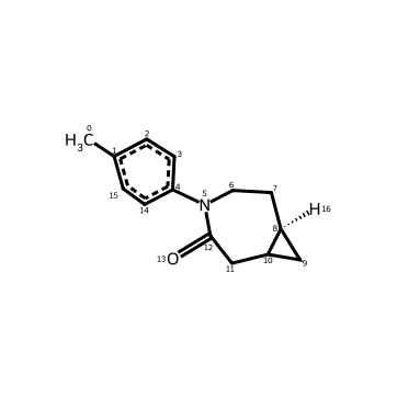 Cc1ccc(N2CC[C@H]3CC3CC2=O)cc1